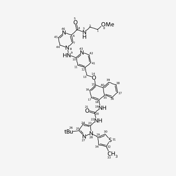 COCCNC(=O)C1=CN(Nc2cc(COc3ccc(NC(=O)Nc4cc(C(C)(C)C)nn4-c4csc(C)c4)c4ccccc34)ccn2)CC=N1